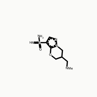 CNCC1COc2c(S(=N)(N)=O)cnn2C1